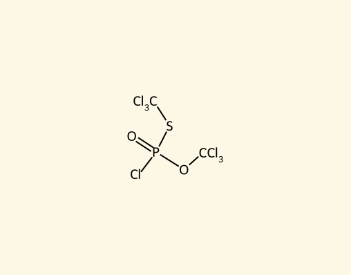 O=P(Cl)(OC(Cl)(Cl)Cl)SC(Cl)(Cl)Cl